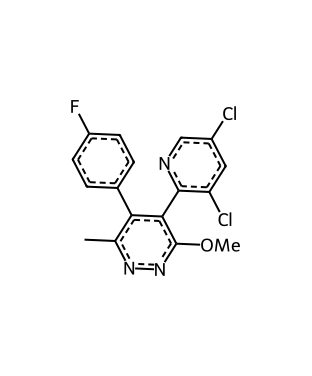 COc1nnc(C)c(-c2ccc(F)cc2)c1-c1ncc(Cl)cc1Cl